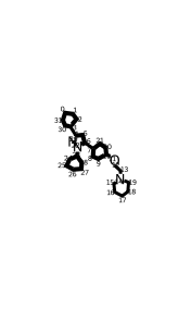 c1ccc(-c2cc(-c3ccc(OCCN4CCCCC4)cc3)n(-c3ccccc3)n2)cc1